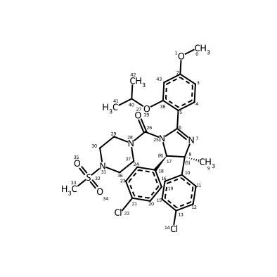 COc1ccc(C2=N[C@@](C)(c3ccc(Cl)cc3)[C@@H](c3ccc(Cl)cc3)N2C(=O)N2CCN(S(C)(=O)=O)CC2)c(OC(C)C)c1